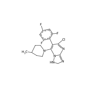 CC1CCN(C2=C(c3c(F)cc(F)cc3F)C(Cl)=NC3=NCNN32)CC1